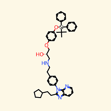 CC(C)(C)[Si](Oc1ccc(OC[C@@H](O)CNCCc2ccc(-n3c(CCC4CCCC4)nc4cccnc43)cc2)cc1)(c1ccccc1)c1ccccc1